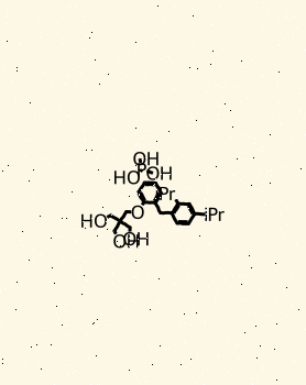 CC(C)c1ccc(Cc2ccccc2OCC(CO)(CO)CO)c(C(C)C)c1.OP(O)O